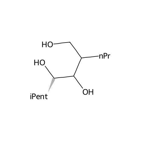 CCCC(CO)C(O)C(O)[C@@H](C)CCC